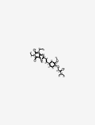 CCn1c(=O)c2c(nc(/C=C/c3ccc(OCC(=O)N(C)C)c(OC)c3)n2C)n(CC)c1=O